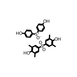 Cc1cc(S(=O)(=O)c2cc(C)c(O)c(C)c2)cc(C)c1O.[O-][S+](c1ccc(O)cc1)c1ccc(O)cc1